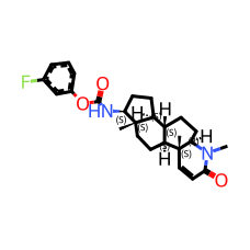 CN1C(=O)C=C[C@]2(C)[C@H]3CC[C@]4(C)[C@@H](NC(=O)Oc5cccc(F)c5)CC[C@H]4[C@@H]3CC[C@@H]12